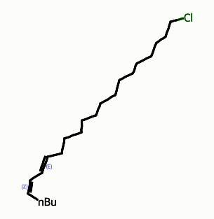 CCCC/C=C\C=C\CCCCCCCCCCCCCCCl